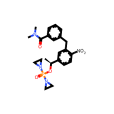 C[C@H](OP(=O)(N1CC1)N1CC1)c1ccc([N+](=O)[O-])c(Cc2cccc(C(=O)N(C)C)c2)c1